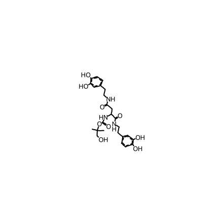 CC(C)(CO)OC(=O)NC(CC(=O)NCCc1ccc(O)c(O)c1)C(=O)NCCc1ccc(O)c(O)c1